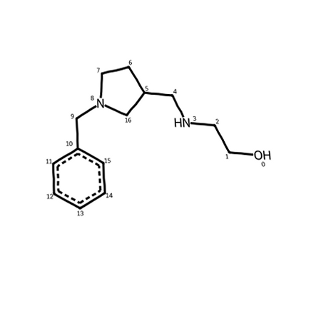 OCCNCC1CCN(Cc2ccccc2)C1